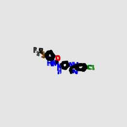 O=C(Nc1cccc(SC(F)(F)F)c1)NC1CCC(Nc2ccnc3cc(Cl)ccc23)CC1